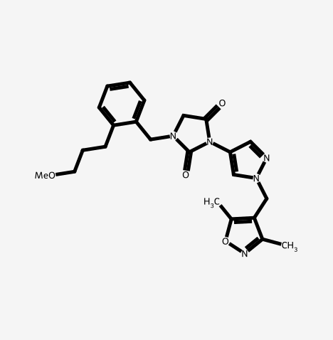 COCCCc1ccccc1CN1CC(=O)N(c2cnn(Cc3c(C)noc3C)c2)C1=O